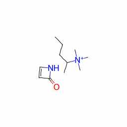 CCCC(C)[N+](C)(C)C.O=C1C=CN1